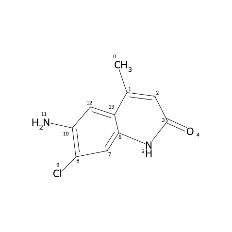 Cc1cc(=O)[nH]c2cc(Cl)c(N)cc12